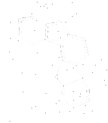 c1coc2cc3c(ccc4[nH]c5ccccc5c43)c-2c1